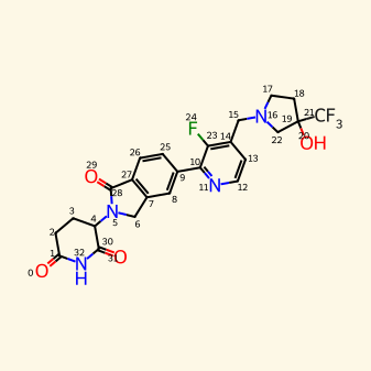 O=C1CCC(N2Cc3cc(-c4nccc(CN5CCC(O)(C(F)(F)F)C5)c4F)ccc3C2=O)C(=O)N1